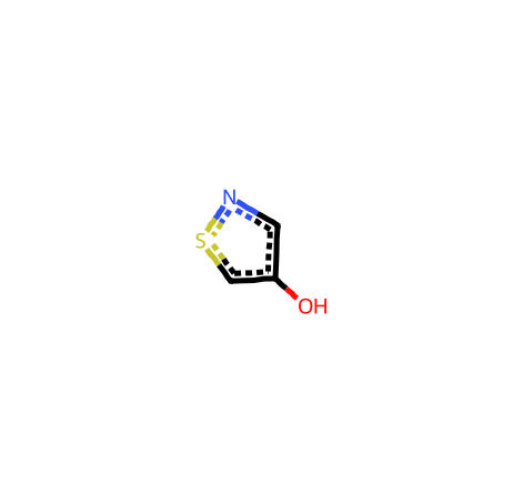 Oc1cnsc1